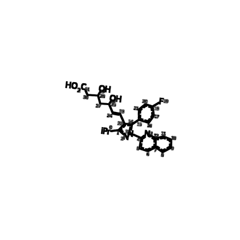 CC(C)c1nn(-c2ccc3ccccc3n2)c(-c2ccc(F)cc2)c1C=CC(O)CC(O)CC(=O)O